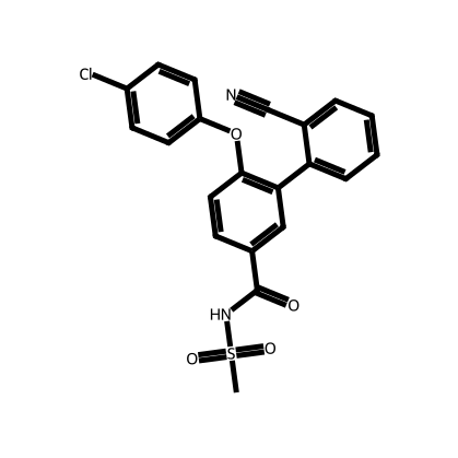 CS(=O)(=O)NC(=O)c1ccc(Oc2ccc(Cl)cc2)c(-c2ccccc2C#N)c1